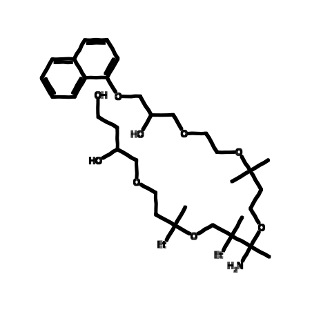 CCC(C)(CCOCC(O)CCO)OCC(C)(CC)C(C)(N)OCCC(C)(C)OCCOCC(O)COc1cccc2ccccc12